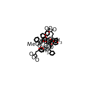 CO[Si]1(c2ccccc2)O[Si](C)(CCCC2CC(=O)OC2=O)O[Si]2(c3ccccc3)O[Si]3(c4ccccc4)O[SiH](c4ccccc4)O[Si]4(c5ccccc5)O[Si](C)(CCCC5CC(=O)OC5=O)O[Si](c5ccccc5)(O3)O[Si](c3ccccc3)(O2)O[Si](c2ccccc2)(O1)O4